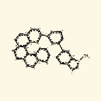 Cn1cnc2ccc(-c3cccc(-c4ccc5ccc6ccc7ccc8ccccc8c7c6c5c4)c3)cc21